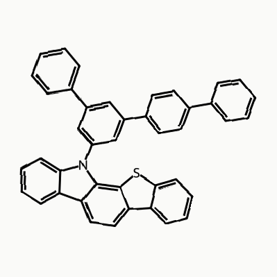 c1ccc(-c2ccc(-c3cc(-c4ccccc4)cc(-n4c5ccccc5c5ccc6c7ccccc7sc6c54)c3)cc2)cc1